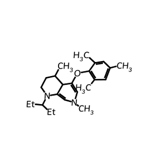 CCC(CC)N1CCC(C)C2C(Oc3c(C)cc(C)cc3C)=CN(C)C=C21